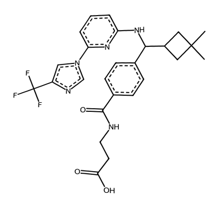 CC1(C)CC(C(Nc2cccc(-n3cnc(C(F)(F)F)c3)n2)c2ccc(C(=O)NCCC(=O)O)cc2)C1